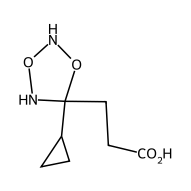 O=C(O)CCC1(C2CC2)NONO1